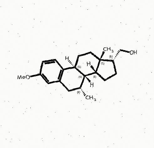 COc1ccc2c(c1)C[C@@H](C)[C@@H]1[C@@H]2CC[C@]2(C)[C@H](CO)CC[C@H]12